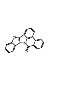 O=c1c2ccccc2c2cccc3c4oc5ccccc5c4n1c23